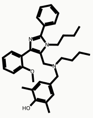 CCCCN(Cc1cc(C)c(O)c(C)c1)Cc1c(-c2ccccc2OC)nc(-c2ccccc2)n1CCCC